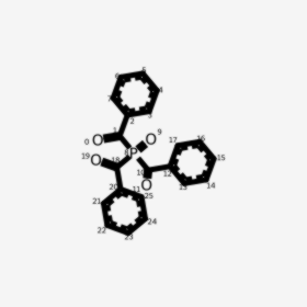 O=C(c1ccccc1)P(=O)(C(=O)c1ccccc1)C(=O)c1ccccc1